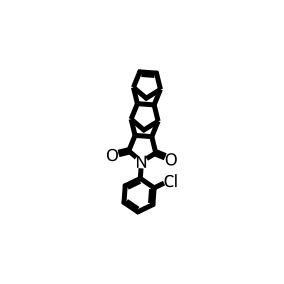 O=C1C2C3CC(C2C(=O)N1c1ccccc1Cl)C1C2C=CC(C2)C31